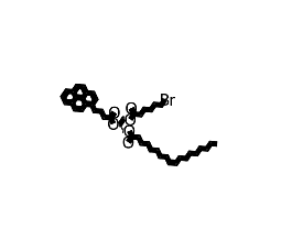 CCCCCCCC/C=C\CCCCCCCC(=O)OC[C@@H](COC(=O)CCCCCBr)OC(=O)CCCc1ccc2ccc3cccc4ccc1c2c34